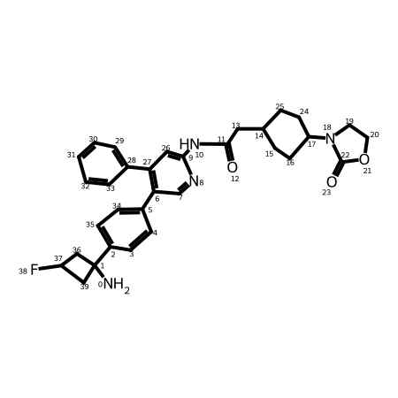 NC1(c2ccc(-c3cnc(NC(=O)CC4CCC(N5CCOC5=O)CC4)cc3-c3ccccc3)cc2)CC(F)C1